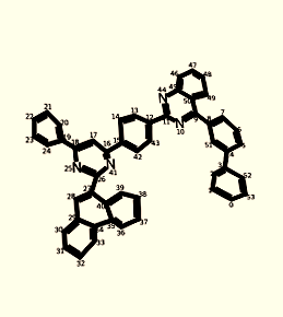 c1ccc(-c2cccc(-c3nc(-c4ccc(-c5cc(-c6ccccc6)nc(-c6cc7ccccc7c7ccccc67)n5)cc4)nc4ccccc34)c2)cc1